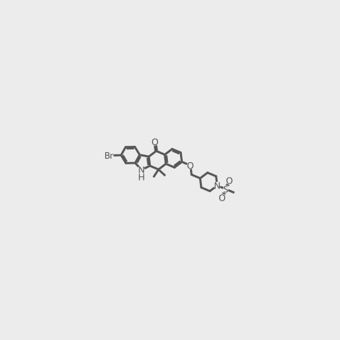 CC1(C)c2cc(OCC3CCN(S(C)(=O)=O)CC3)ccc2C(=O)c2c1[nH]c1cc(Br)ccc21